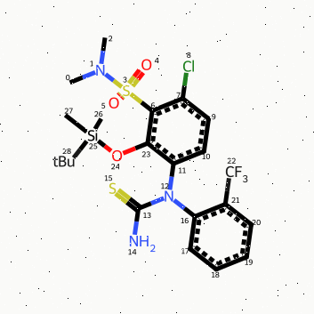 CN(C)S(=O)(=O)c1c(Cl)ccc(N(C(N)=S)c2ccccc2C(F)(F)F)c1O[Si](C)(C)C(C)(C)C